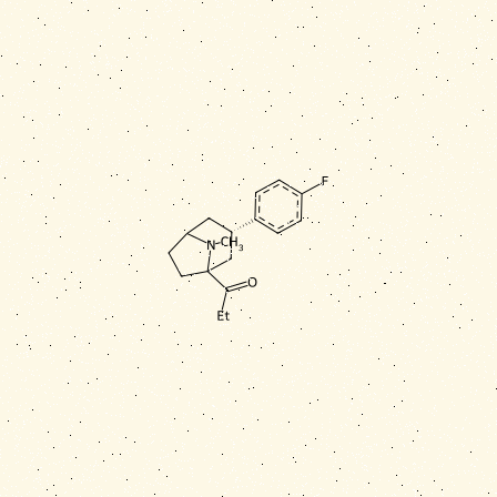 CCC(=O)C12CCC(C[C@H](c3ccc(F)cc3)C1)N2C